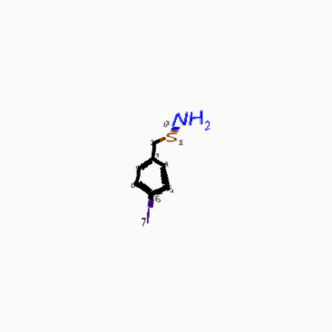 NSCc1ccc(I)cc1